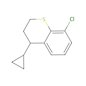 Clc1cccc2c1SCCC2C1CC1